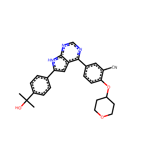 CC(C)(O)c1ccc(-c2cc3c(-c4ccc(OC5CCOCC5)c(C#N)c4)ncnc3[nH]2)cc1